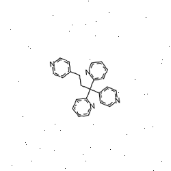 c1ccc(C(CCc2ccncc2)(c2ccncc2)c2ccccn2)nc1